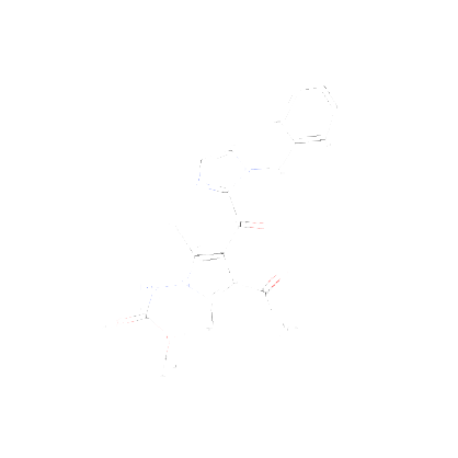 COC(=O)c1c(C(=O)c2nccn2Cc2ccccc2)c(C)n(NC(=O)OC(C)(C)C)c1C